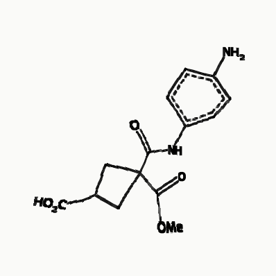 COC(=O)C1(C(=O)Nc2ccc(N)cc2)CC(C(=O)O)C1